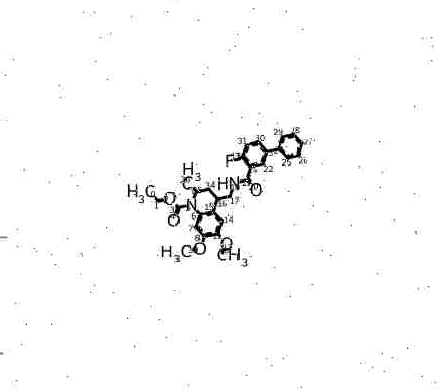 CCOC(=O)N1c2cc(OC)c(OC)cc2C(CNC(=O)c2cc(-c3ccccc3)ccc2F)CC1C